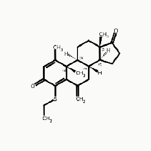 C=C1C[C@@H]2[C@H](CC[C@]3(C)C(=O)CC[C@@H]23)[C@@]2(C)C(C)=CC(=O)C(SCC)=C12